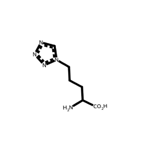 NC(CCCn1cnnn1)C(=O)O